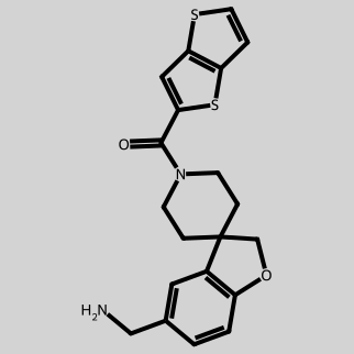 NCc1ccc2c(c1)C1(CCN(C(=O)c3cc4sccc4s3)CC1)CO2